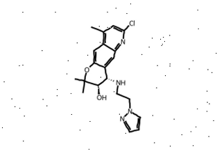 Cc1cc(Cl)nc2cc3c(cc12)OC(C)(C)[C@H](O)[C@H]3NCCn1cccn1